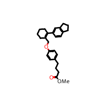 COC(=O)CCCc1ccc(OCC2=C(c3ccc4c(c3)CCC4)CCCC2)cc1